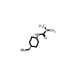 CN(C)C(=O)N[C@H]1CC[C@@H](CC(C)(C)C)CC1